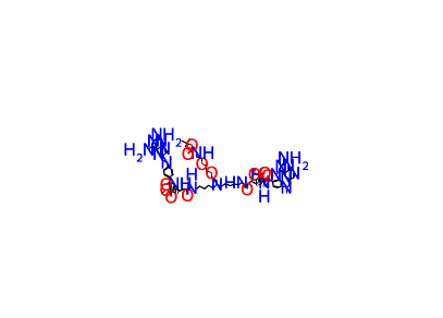 COC(=O)[C@H](CCC(=O)NCCCCCN(CCCCCNC(=O)CC[C@H](NC(=O)c1ccc(N(C)Cc2cnc3nc(N)nc(N)c3n2)cc1)C(=O)OC)CCOCCOCCNC(=O)OC(C)(C)C)NC(=O)c1ccc(N(C)Cc2cnc3nc(N)nc(N)c3n2)cc1